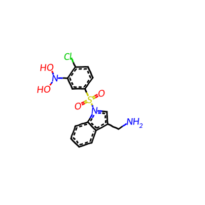 NCc1cn(S(=O)(=O)c2ccc(Cl)c(N(O)O)c2)c2ccccc12